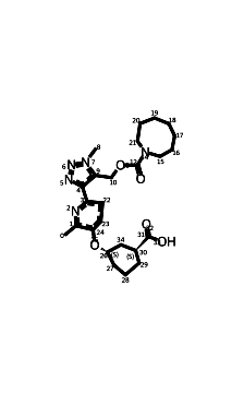 Cc1nc(-c2nnn(C)c2COC(=O)N2CCCCCCC2)ccc1O[C@H]1CCC[C@H](C(=O)O)C1